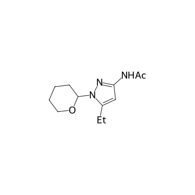 CCc1cc(NC(C)=O)nn1C1CCCCO1